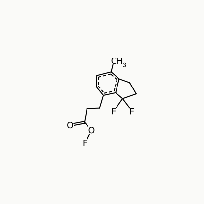 Cc1ccc(CCC(=O)OF)c2c1CCC2(F)F